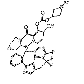 CC(=O)N1CC(OC(=O)OC2=C3C(=O)N4CCOCC4N(C4c5ccccc5-c5scc6c5-c5c4ccc(F)c5C(F)(F)C6)N3C=CC2O)C1